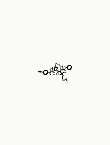 C#Cc1ccc(C(C)NC(=O)[C@@H]2C[C@@H](O)CN2C(=O)C(NC(=O)Oc2ccccc2)C(C)(C)CCN)cc1